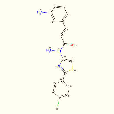 Nc1cccc(C=CC(=O)N(N)c2csc(-c3ccc(Cl)cc3)n2)c1